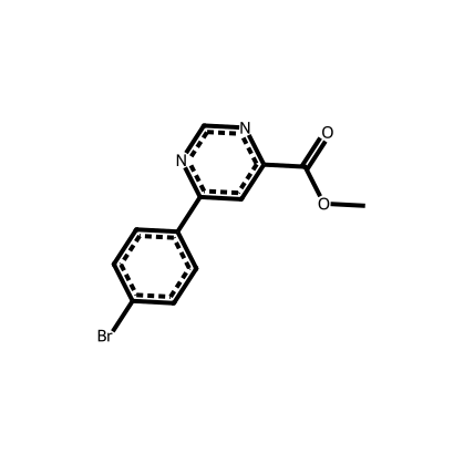 COC(=O)c1cc(-c2ccc(Br)cc2)ncn1